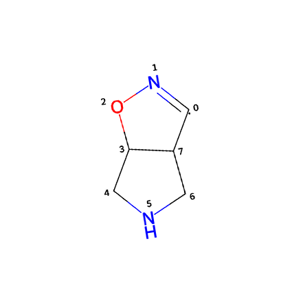 [C]1=NOC2CNCC12